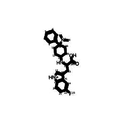 CN(C)C1(c2ccccc2)CCC(NC(Cc2c[nH]c3ccc(F)cc23)C(=O)O)CC1